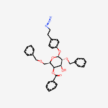 [N-]=[N+]=NCCc1ccc(O[C@@H]2O[C@H](COCc3ccccc3)[C@H](OC(=O)c3ccccc3)[C@H](O)[C@H]2OCc2ccccc2)cc1